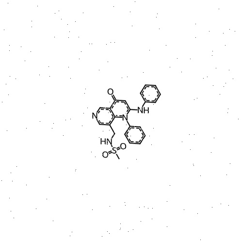 CS(=O)(=O)NCc1cncc2c(=O)cc(Nc3ccccc3)n(-c3ccccc3)c12